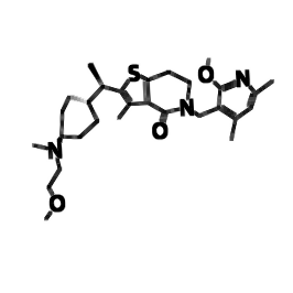 COCCN(C)[C@H]1CC[C@H]([C@@H](C)c2sc3c(c2C)C(=O)N(Cc2c(C)cc(C)nc2OC)CC3)CC1